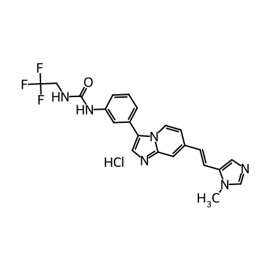 Cl.Cn1cncc1C=Cc1ccn2c(-c3cccc(NC(=O)NCC(F)(F)F)c3)cnc2c1